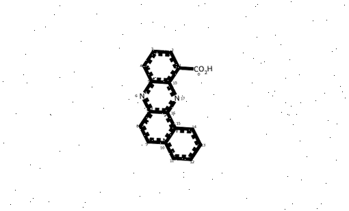 O=C(O)c1cccc2nc3ccc4ccccc4c3nc12